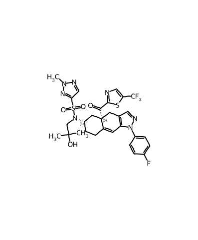 Cn1ncc(S(=O)(=O)N(CC(C)(C)O)[C@H]2CCC3=Cc4c(cnn4-c4ccc(F)cc4)C[C@]3(C(=O)c3ncc(C(F)(F)F)s3)C2)n1